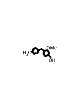 COc1cc(CO)ccc1Cc1ccc(C)cc1